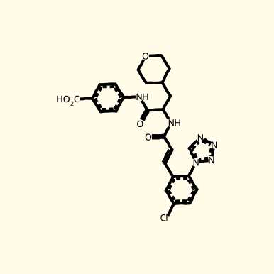 O=C(C=Cc1cc(Cl)ccc1-n1cnnn1)NC(CC1CCOCC1)C(=O)Nc1ccc(C(=O)O)cc1